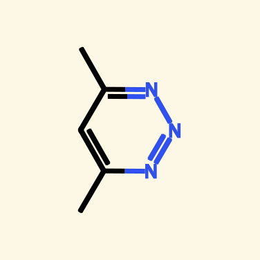 Cc1cc(C)nnn1